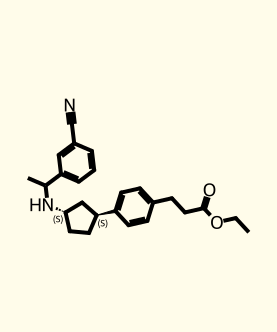 CCOC(=O)CCc1ccc([C@H]2CC[C@H](NC(C)c3cccc(C#N)c3)C2)cc1